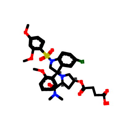 COc1ccc(S(=O)(=O)N2C[C@@](c3ccccc3OC)(N3C[C@H](OC(=O)CCC(=O)O)C[C@H]3C(=O)N(C)C)c3cc(Cl)ccc32)c(OC)c1